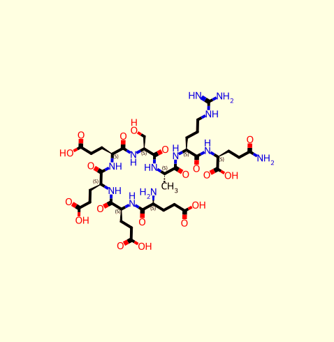 C[C@H](NC(=O)[C@H](CO)NC(=O)[C@H](CCC(=O)O)NC(=O)[C@H](CCC(=O)O)NC(=O)[C@H](CCC(=O)O)NC(=O)[C@@H](N)CCC(=O)O)C(=O)N[C@@H](CCCNC(=N)N)C(=O)N[C@@H](CCC(N)=O)C(=O)O